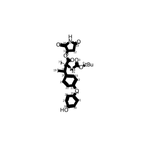 CC(C)(C)OC(=O)N(I)[C@](I)(C(=O)OC1CC(=O)NC1=O)C(I)c1ccc(Oc2ccc(O)cc2)cc1